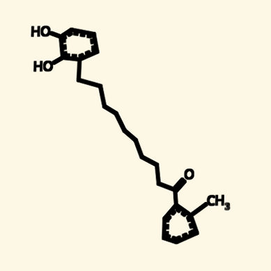 Cc1ccccc1C(=O)CCCCCCCCCc1cccc(O)c1O